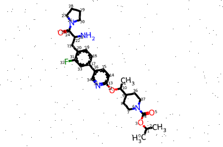 CC(C)OC(=O)N1CCC(C(C)Oc2ccc(-c3ccc(CC(N)C(=O)N4CCCC4)c(F)c3)cn2)CC1